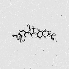 CC1(C)C(=O)N(c2ccc(C#N)c(C(F)(F)F)c2)C(=S)N1c1ccc2c(c1)SCC(C(N)=O)O2